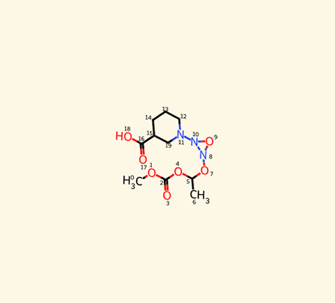 COC(=O)OC(C)On1on1N1CCCC(C(=O)O)C1